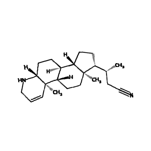 C[C@H](CC#N)[C@H]1CC[C@H]2[C@@H]3CC[C@H]4NCC=C[C@]4(C)[C@H]3CC[C@]12C